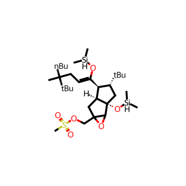 CCCCC(C)(CC=C(O[SiH](C)C)[C@H]1[C@H](C(C)(C)C)C[C@@]2(O[SiH](C)C)C3OC3(COS(C)(=O)=O)C[C@@H]12)C(C)(C)C